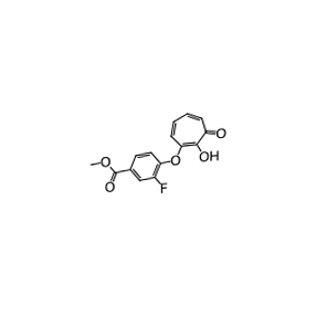 COC(=O)c1ccc(Oc2ccccc(=O)c2O)c(F)c1